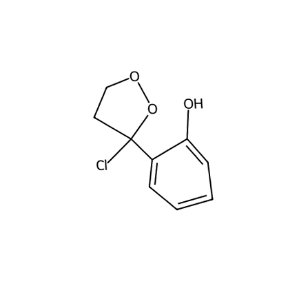 Oc1ccccc1C1(Cl)CCOO1